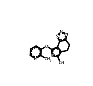 Cc1ncccc1Oc1sc(C#N)c2c1-c1snnc1CC2